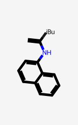 C=C(Nc1cccc2ccccc12)C(C)CC